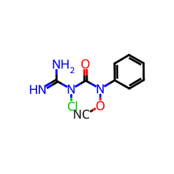 N#CON(C(=O)N(Cl)C(=N)N)c1ccccc1